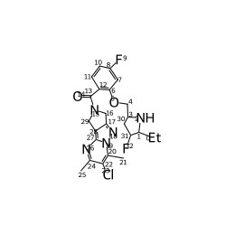 CCC1NC(COc2cc(F)ccc2C(=O)N2Cc3nn4c(C)c(Cl)c(C)nc4c3C2)CC1F